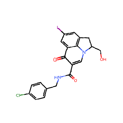 O=C(NCc1ccc(Cl)cc1)c1cn2c3c(cc(I)cc3c1=O)CC2CO